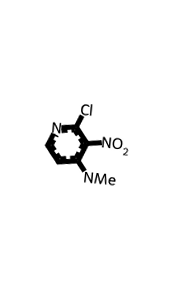 CNc1ccnc(Cl)c1[N+](=O)[O-]